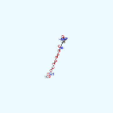 CC(C)(C)OC(=O)NCCOCCOCCOCCOCCOCCOCCOCCNC(=O)CCCC[C@@H]1SC[C@@H]2NC(=O)N[C@@H]21